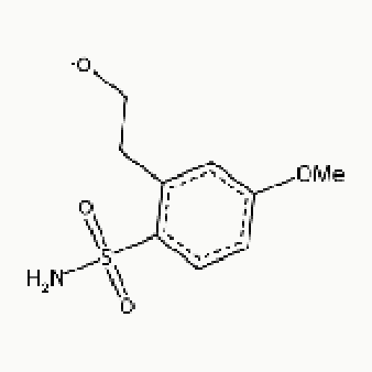 COc1ccc(S(N)(=O)=O)c(CC[O])c1